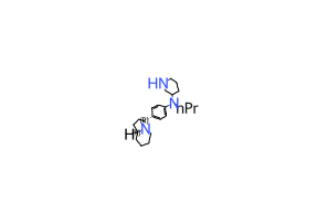 CCCN(c1ccc([C@H]2CC[C@H]3CCCCN32)cc1)C1CCCNC1